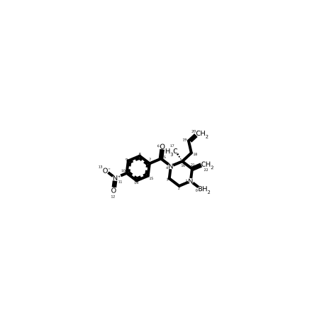 BN1CCN(C(=O)c2ccc([N+](=O)[O-])cc2)[C@@](C)(CC=C)C1=C